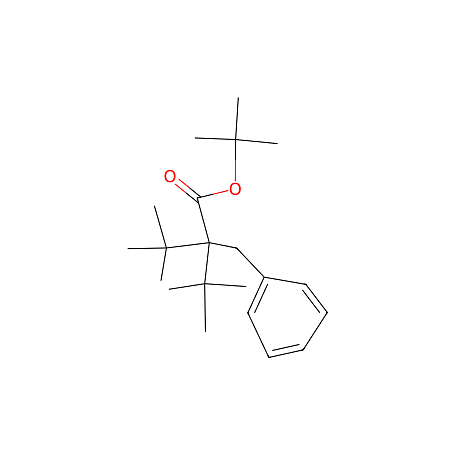 CC(C)(C)OC(=O)C(Cc1ccccc1)(C(C)(C)C)C(C)(C)C